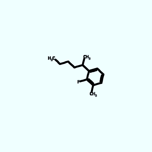 CCCC[C](C)c1cccc(C)c1F